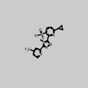 CCS(=O)(=O)c1ccc(C2CC2)nc1-c1nnc(-c2cc(C(F)(F)F)ccn2)n1C